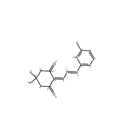 Cc1cccc(N=NC=C2C(=O)CC(C)(C)CC2=O)n1